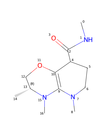 CNC(=O)C1CCN(C)C2=C1OC[C@@H](C)N2C